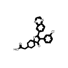 O=C(O)CC1CCC2(CC1)OC(c1ccc3nccnc3c1)=C(c1cccc(Cl)c1)C2=O